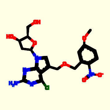 COc1ccc([N+](=O)[O-])c(COCc2cn([C@H]3C[C@@H](O)[C@@H](CO)O3)c3nc(N)nc(Cl)c23)c1